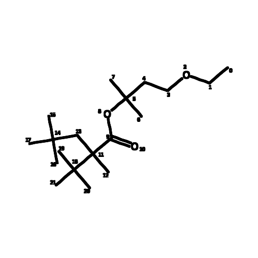 CCOCCC(C)(C)OC(=O)C(C)(CC(C)(C)C)C(C)(C)C